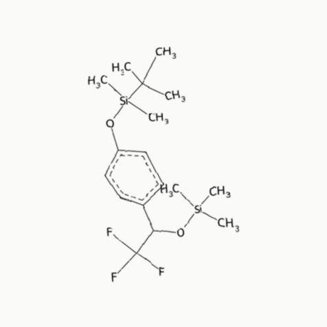 CC(C)(C)[Si](C)(C)Oc1ccc(C(O[Si](C)(C)C)C(F)(F)F)cc1